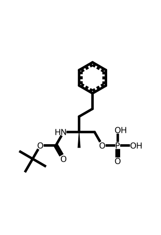 CC(C)(C)OC(=O)N[C@](C)(CCc1ccccc1)COP(=O)(O)O